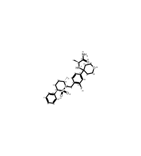 C[C@H](NC1(c2ccc(CN3[C@@H](C)CC[C@H](c4ccccc4)S3(=O)=O)c(F)c2)CCOCC1)C(N)=O